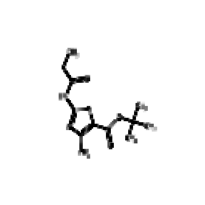 CCC(=O)Nc1nc(C)c(C(=O)OC(C)(C)C)s1